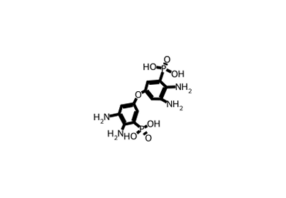 Nc1cc(Oc2cc(N)c(N)c(P(=O)(O)O)c2)cc(P(=O)(O)O)c1N